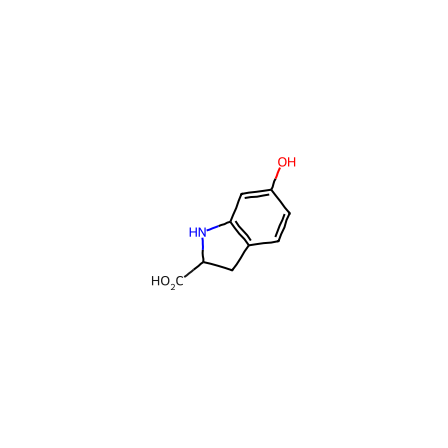 O=C(O)C1Cc2ccc(O)cc2N1